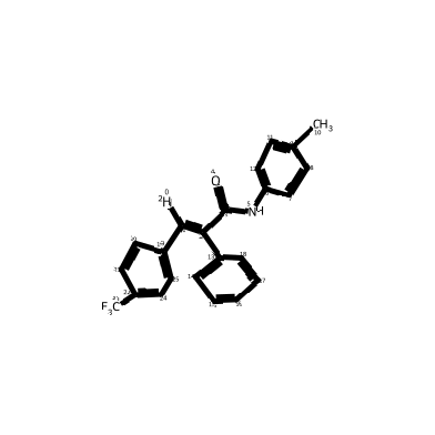 [2H]/C(=C(\C(=O)Nc1ccc(C)cc1)c1ccccc1)c1ccc(C(F)(F)F)cc1